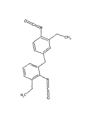 CCc1cc(Cc2cccc(CC)c2N=C=O)ccc1N=C=O